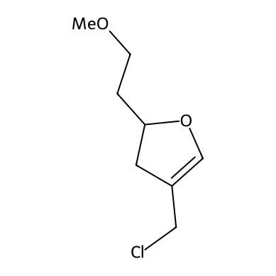 COCCC1CC(CCl)=CO1